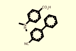 C[SiH](C)c1ccc(C(=O)O)cc1.N#Cc1ccc(-c2ccccc2)cc1